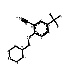 CC(C)(C)c1ccc(OCC2CCOCC2)c(C#N)c1